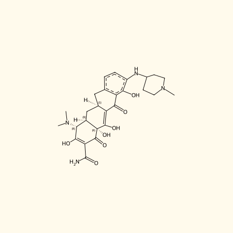 CN1CCC(Nc2ccc3c(c2O)C(=O)C2=C(O)[C@@]4(O)C(=O)C(C(N)=O)=C(O)[C@H](N(C)C)[C@H]4C[C@H]2C3)CC1